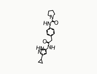 O=C(Cc1ccc(NC(=O)N2CCCC2)cc1)Nc1cc(C2CC2)n[nH]1